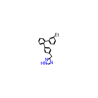 CCc1cccc(-c2ccccc2-c2ccc(Cc3nc[nH]n3)cc2)c1